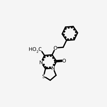 O=C(O)c1nc2n(c(=O)c1OCc1ccccc1)CCS2